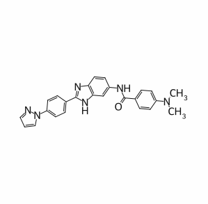 CN(C)c1ccc(C(=O)Nc2ccc3nc(-c4ccc(-n5cccn5)cc4)[nH]c3c2)cc1